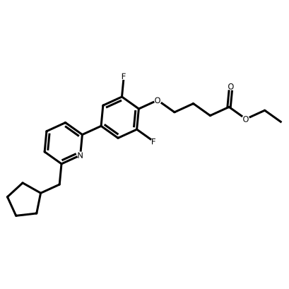 CCOC(=O)CCCOc1c(F)cc(-c2cccc(CC3CCCC3)n2)cc1F